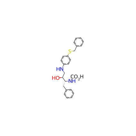 O=C(O)N[C@H](Cc1ccccc1)[C@@H](O)CNc1ccc(SCc2ccccc2)cc1